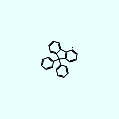 [c]1cccc2c1-c1ccccc1C2(c1ccccc1)c1ccccc1